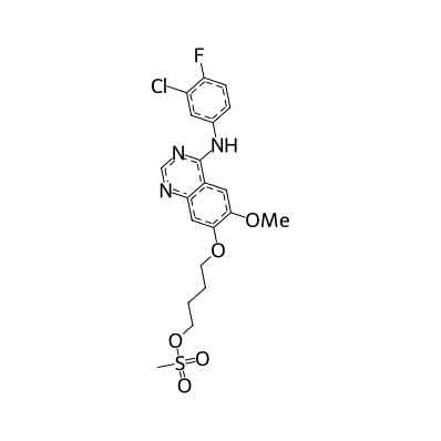 COc1cc2c(Nc3ccc(F)c(Cl)c3)ncnc2cc1OCCCCOS(C)(=O)=O